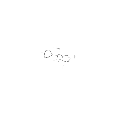 O=Cc1c(-c2ccc(F)cc2)[nH]c2c(F)cc(F)cc12